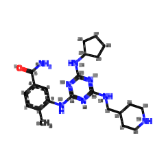 Cc1ccc(C(N)=O)cc1Nc1nc(NCC2CCNCC2)nc(NC2CCCC2)n1